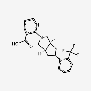 O=C(O)c1cccnc1N1C[C@H]2C[C@@H](c3ccccc3C(F)(F)F)C[C@H]2C1